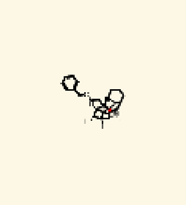 CC1(C)[C@@H]2C[C@H]([B-]3C4CCCC3CCC4)[C@@H](CCOCc3ccccc3)[C@H]1C2.[Li+]